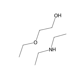 CCNCC.CCOCCO